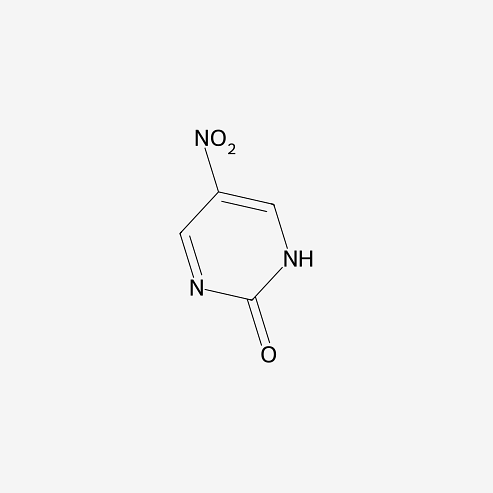 O=c1ncc([N+](=O)[O-])c[nH]1